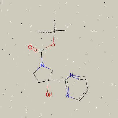 CC(C)(C)OC(=O)N1CCC(O)(c2ncccn2)C1